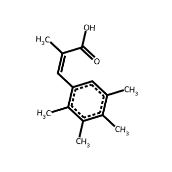 CC(=Cc1cc(C)c(C)c(C)c1C)C(=O)O